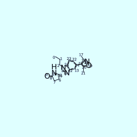 CCCn1c([C@@H]2CCC(=O)N2)nc2cc(-c3c(C)noc3C)ccc21